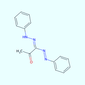 CC(=O)C(/N=N/c1ccccc1)=N\Nc1ccccc1